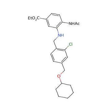 CCOC(=O)c1ccc(NC(C)=O)c(NCc2ccc(COC3CCCCC3)cc2Cl)c1